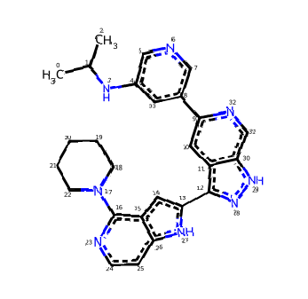 CC(C)Nc1cncc(-c2cc3c(-c4cc5c(N6CCCCC6)nccc5[nH]4)n[nH]c3cn2)c1